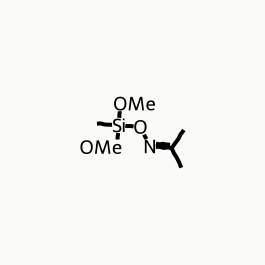 CO[Si](C)(OC)ON=C(C)C